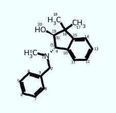 CN(Cc1ccccc1)[C@H]1c2ccccc2C(C)(C)[C@@H]1O